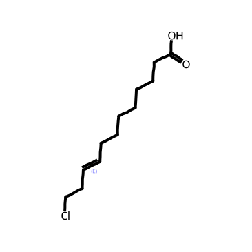 O=C(O)CCCCCCC/C=C/CCCl